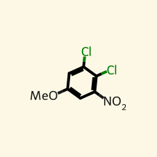 COc1cc(Cl)c(Cl)c([N+](=O)[O-])c1